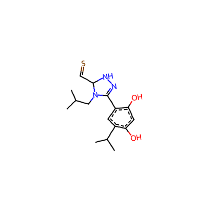 CC(C)CN1C(c2cc(C(C)C)c(O)cc2O)=NNC1C=S